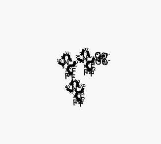 CCC(CC(F)(F)F)[N+](CC)(CC)CC.CCC(CC(F)(F)F)[N+](CC)(CC)CC.CCC(CC(F)(F)F)[N+](CC)(CC)CC.O=P([O-])([O-])[O-]